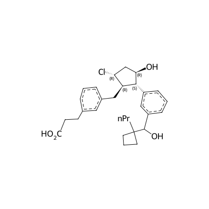 CCCC1(C(O)c2cccc([C@@H]3[C@@H](Cc4cccc(CCC(=O)O)c4)[C@H](Cl)C[C@H]3O)c2)CCC1